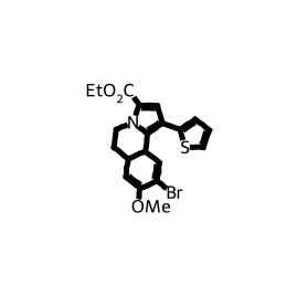 CCOC(=O)c1cc(-c2cccs2)c2n1CCC1C=C(OC)C(Br)=CC21